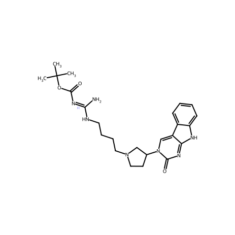 CC(C)(C)OC(=O)/N=C(\N)NCCCCN1CCC(n2cc3c(nc2=O)[nH]c2ccccc23)C1